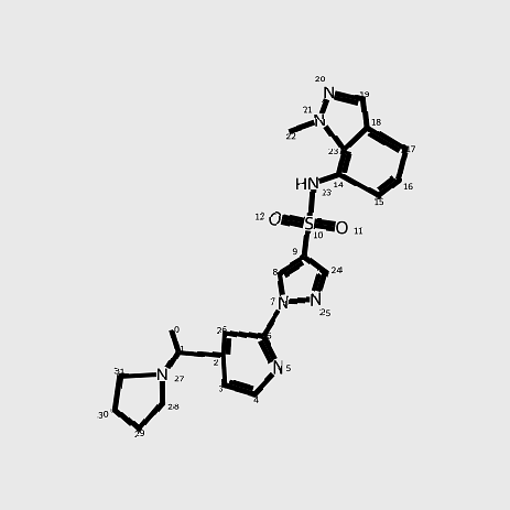 CC(c1ccnc(-n2cc(S(=O)(=O)Nc3cccc4cnn(C)c34)cn2)c1)N1CCCC1